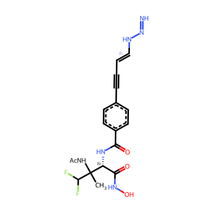 CC(=O)NC(C)(C(F)F)[C@H](NC(=O)c1ccc(C#C/C=C/NN=N)cc1)C(=O)NO